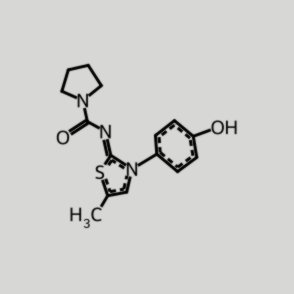 Cc1cn(-c2ccc(O)cc2)c(=NC(=O)N2CCCC2)s1